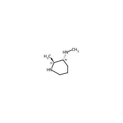 CN[C@@H]1CCCN[C@H]1C